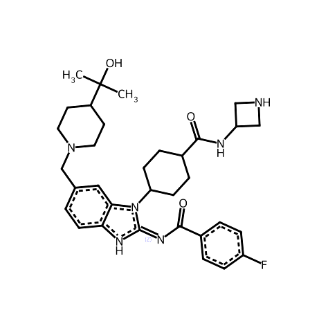 CC(C)(O)C1CCN(Cc2ccc3[nH]/c(=N/C(=O)c4ccc(F)cc4)n(C4CCC(C(=O)NC5CNC5)CC4)c3c2)CC1